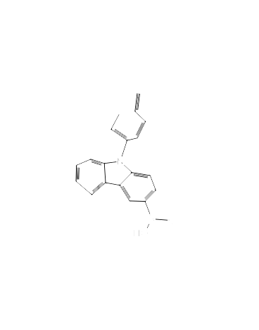 C=C/C=C\C(=C/C)n1c2ccccc2c2cc(B(O)O)ccc21